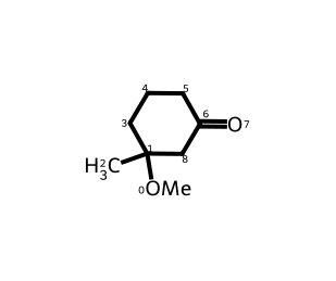 COC1(C)CCCC(=O)C1